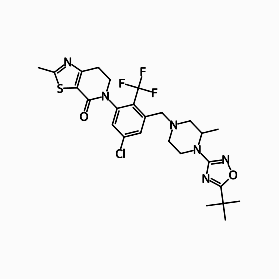 Cc1nc2c(s1)C(=O)N(c1cc(Cl)cc(CN3CCN(c4noc(C(C)(C)C)n4)C(C)C3)c1C(F)(F)F)CC2